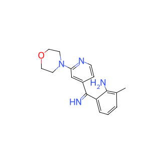 Cc1cccc(C(=N)c2ccnc(N3CCOCC3)c2)c1N